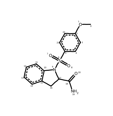 COc1ccc(S(=O)(=O)N2c3[c]cccc3CC2C(N)=O)cc1